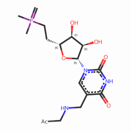 C=P(C)(C)CC[C@H]1O[C@@H](n2cc(CNCC(C)=O)c(=O)[nH]c2=O)[C@H](O)[C@@H]1O